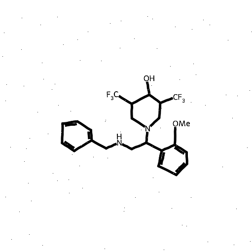 COc1ccccc1C(CNCc1ccccc1)N1CC(C(F)(F)F)C(O)C(C(F)(F)F)C1